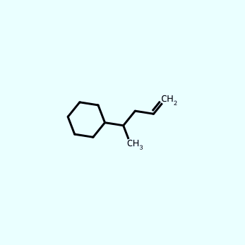 C=CCC(C)C1CCCCC1